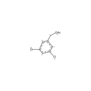 CC(=O)OCc1cc(Cl)cc(Cl)c1